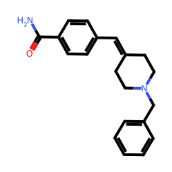 NC(=O)c1ccc(C=C2CCN(Cc3ccccc3)CC2)cc1